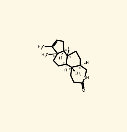 CC1=CC[C@H]2[C@@H]3CC[C@H]4CNC(=O)CC[C@]4(C)[C@H]3CC[C@]12C